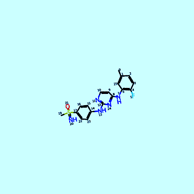 Cc1ccc(F)c(Nc2ccnc(Nc3ccc(S(C)(=N)=O)cc3)n2)c1